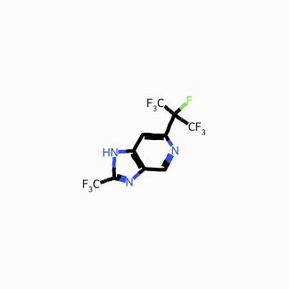 FC(F)(F)c1nc2cnc(C(F)(C(F)(F)F)C(F)(F)F)cc2[nH]1